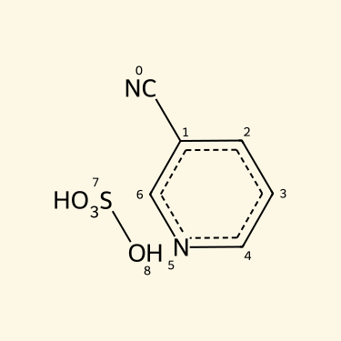 N#Cc1cccnc1.O=S(=O)(O)O